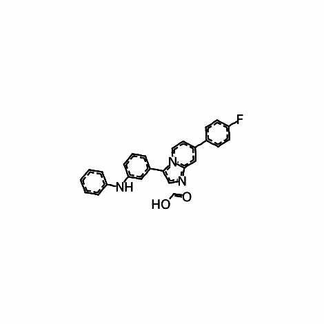 Fc1ccc(-c2ccn3c(-c4cccc(Nc5ccccc5)c4)cnc3c2)cc1.O=CO